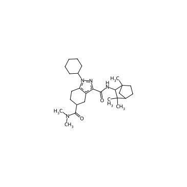 CN(C)C(=O)C1CCc2c(c(C(=O)NC3C4(C)CCC(C4)C3(C)C)nn2C2CCCCC2)C1